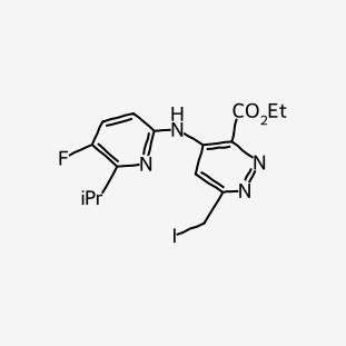 CCOC(=O)c1nnc(CI)cc1Nc1ccc(F)c(C(C)C)n1